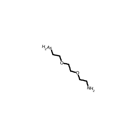 NCCOCCOCC[AsH2]